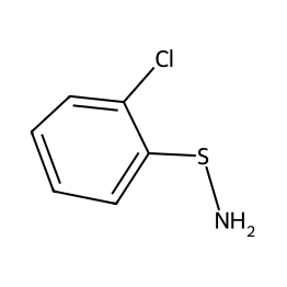 NSc1ccccc1Cl